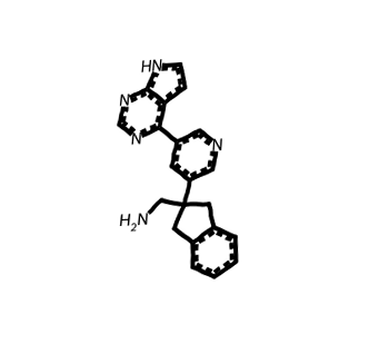 NCC1(c2cncc(-c3ncnc4[nH]ccc34)c2)Cc2ccccc2C1